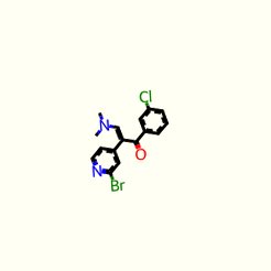 CN(C)C=C(C(=O)c1cccc(Cl)c1)c1ccnc(Br)c1